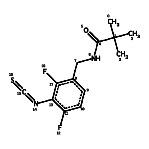 CC(C)(C)C(=O)NCc1ccc(F)c(N=C=S)c1F